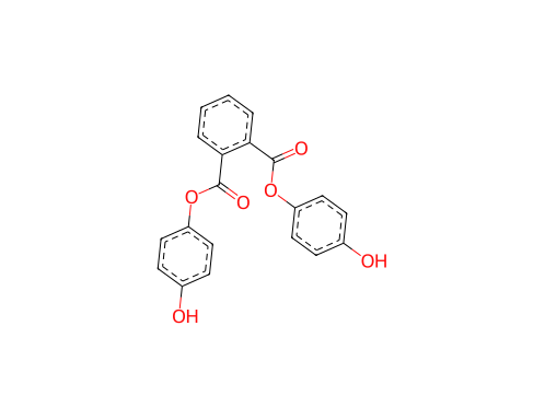 O=C(Oc1ccc(O)cc1)c1ccccc1C(=O)Oc1ccc(O)cc1